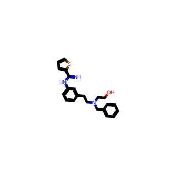 N=C(Nc1cccc(CCN(CCO)Cc2ccccc2)c1)c1cccs1